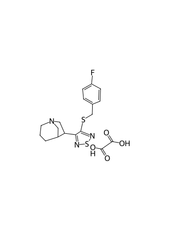 Fc1ccc(CSc2nsnc2C2CN3CCCC2C3)cc1.O=C(O)C(=O)O